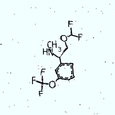 CN[C@@H](COC(F)F)c1cccc(OC(F)(F)F)c1